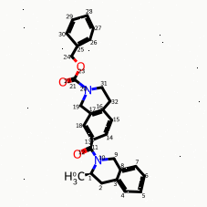 C[C@@H]1Cc2ccccc2CN1C(=O)c1ccc2c(c1)CN(C(=O)OCc1ccccc1)CC2